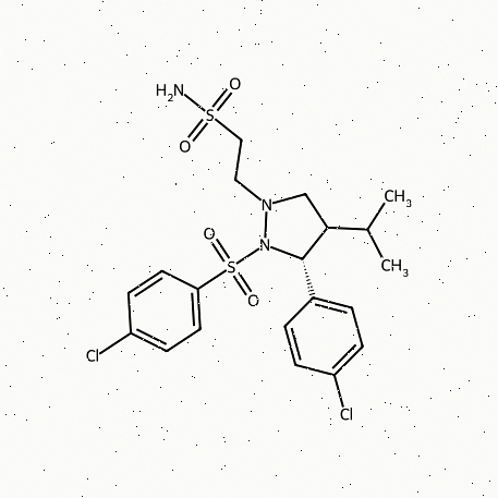 CC(C)C1CN(CCS(N)(=O)=O)N(S(=O)(=O)c2ccc(Cl)cc2)[C@H]1c1ccc(Cl)cc1